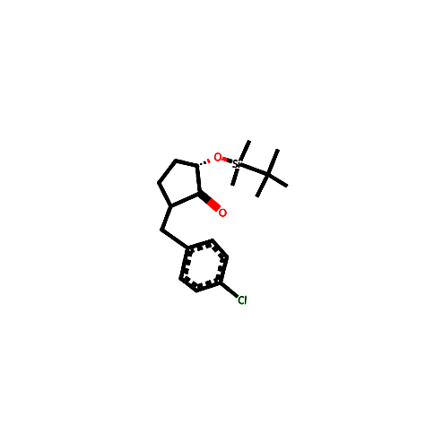 CC(C)(C)[Si](C)(C)O[C@H]1CCC(Cc2ccc(Cl)cc2)C1=O